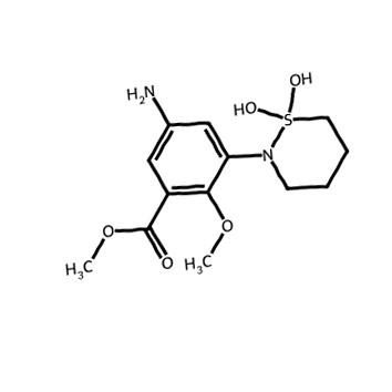 COC(=O)c1cc(N)cc(N2CCCCS2(O)O)c1OC